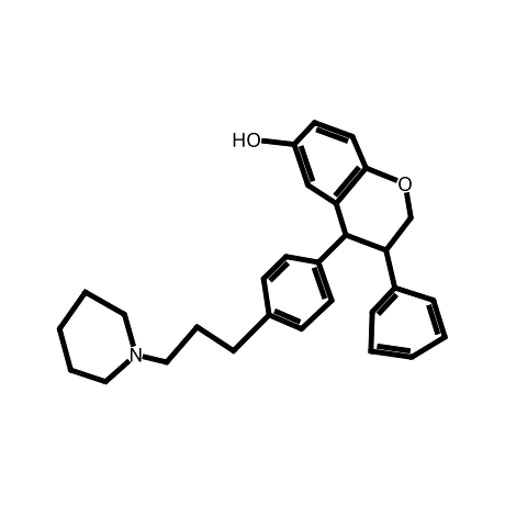 Oc1ccc2c(c1)C(c1ccc(CCCN3CCCCC3)cc1)C(c1ccccc1)CO2